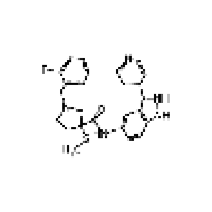 CSC1(C(=O)Nc2ccc3c(c2)C(c2ccncc2)NN3)CCN(Cc2ccccc2F)C1